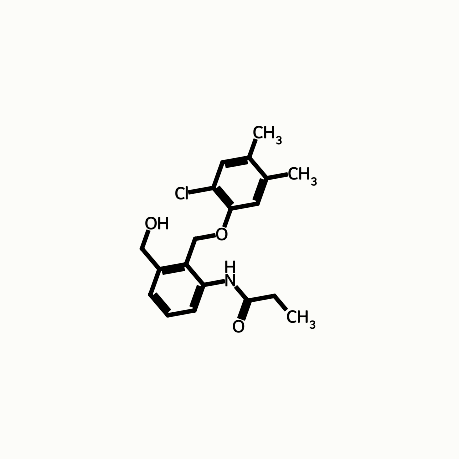 CCC(=O)Nc1cccc(CO)c1COc1cc(C)c(C)cc1Cl